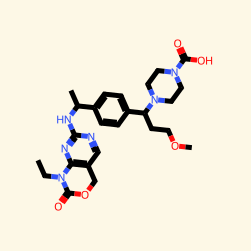 CCN1C(=O)OCc2cnc(NC(C)c3ccc(C(CCOC)N4CCN(C(=O)O)CC4)cc3)nc21